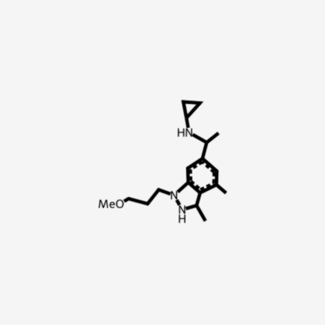 COCCCN1NC(C)c2c(C)cc(C(C)NC3CC3)cc21